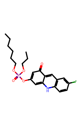 CCCCCCOP(=O)(OCCC)Oc1cc2[nH]c3ccc(F)cc3cc-2c(=O)c1